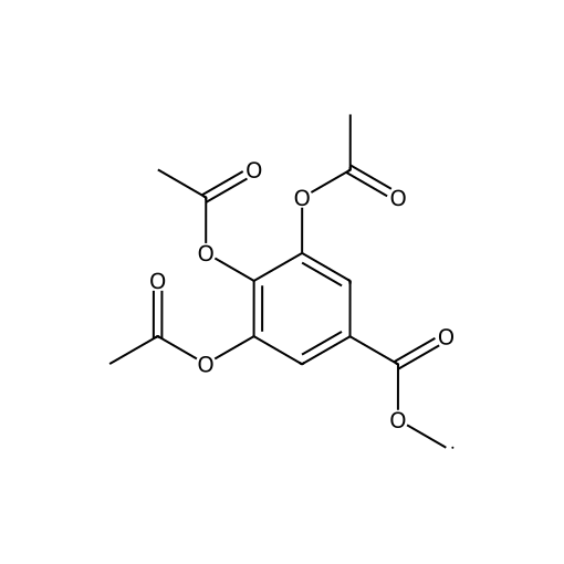 [CH2]OC(=O)c1cc(OC(C)=O)c(OC(C)=O)c(OC(C)=O)c1